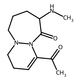 CNC1CCCN2CCC=C(C(C)=O)N2C1=O